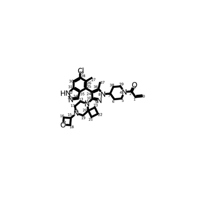 C=CC(=O)N1CCC(n2nc(N3CCN(C4COC4)CC34CCC4)c(-c3c(C)c(Cl)cc4[nH]ncc34)c2C)CC1